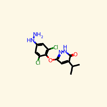 CC(C)c1cc(Oc2c(Cl)cc(NN)cc2Cl)n[nH]c1=O